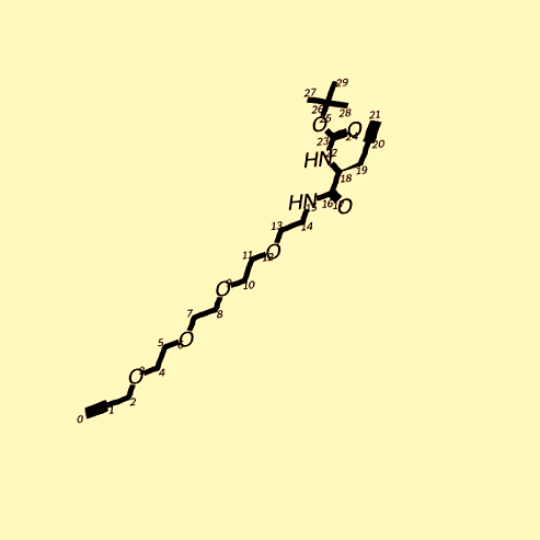 C#CCOCCOCCOCCOCCNC(=O)[C@H](CC#C)NC(=O)OC(C)(C)C